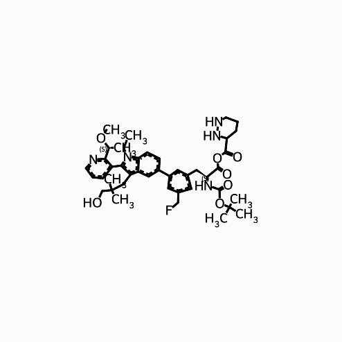 CCn1c(-c2cccnc2[C@H](C)OC)c(CC(C)(C)CO)c2cc(-c3cc(CF)cc(C[C@H](NC(=O)OC(C)(C)C)C(=O)OC(=O)C4CCCNN4)c3)ccc21